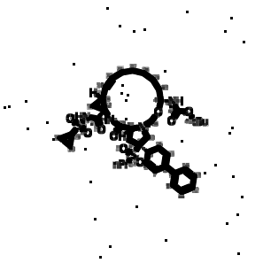 CCCS(=O)(=O)[C@@]1(C2C=CC(c3ccccc3)=CC2)C[C@H]2C(=O)N[C@]3(C(=O)NS(=O)(=O)C4CC4)C[C@@H]3/C=C\CCCCC[C@H](NC(=O)OC(C)(C)C)OCN2C1